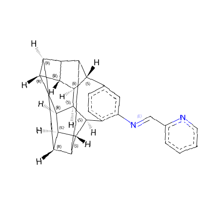 C(=N\c1cc2ccc1[C@H]1[C@@H]3C4C5C6[C@H]7[C@@H]4[C@H]3[C@H]3[C@H]7[C@H]6[C@H]([C@@H]13)[C@@H]25)/c1ccccn1